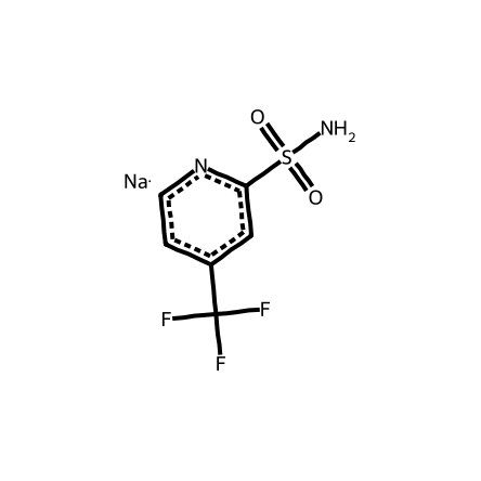 NS(=O)(=O)c1cc(C(F)(F)F)ccn1.[Na]